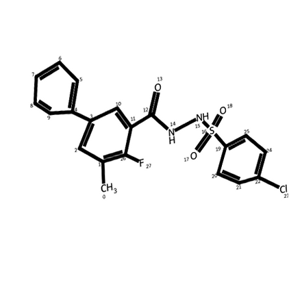 Cc1cc(-c2ccccc2)cc(C(=O)NNS(=O)(=O)c2ccc(Cl)cc2)c1F